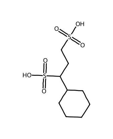 O=S(=O)(O)CCC(C1CCCCC1)S(=O)(=O)O